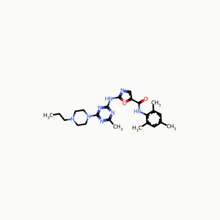 CCCN1CCN(c2nc(C)nc(Nc3ncc(C(=O)Nc4c(C)cc(C)cc4C)o3)n2)CC1